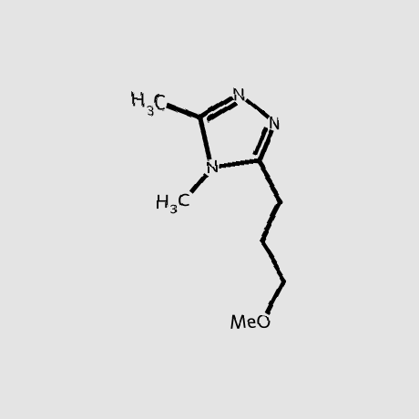 COCCCc1nnc(C)n1C